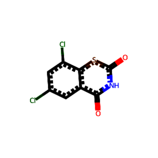 O=c1[nH]c(=O)c2cc(Cl)cc(Cl)c2s1